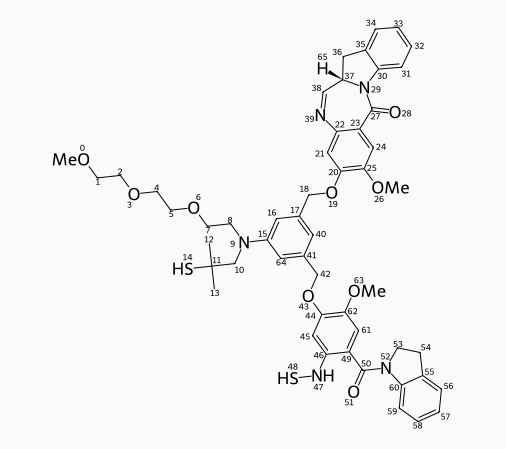 COCCOCCOCCN(CC(C)(C)S)c1cc(COc2cc3c(cc2OC)C(=O)N2c4ccccc4C[C@H]2C=N3)cc(COc2cc(NS)c(C(=O)N3CCc4ccccc43)cc2OC)c1